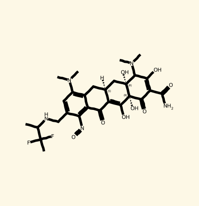 CC(NCc1cc(N(C)C)c2c(c1N=O)C(=O)C1=C(O)[C@]3(O)C(=O)C(C(N)=O)=C(O)C(N(C)C)[C@]3(O)C[C@@H]1C2)C(C)(F)F